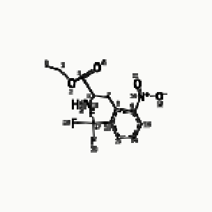 CCOC(=O)C(N)Cc1c([N+](=O)[O-])cccc1C(F)(F)F